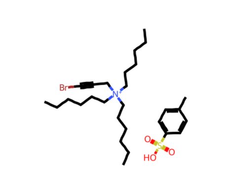 CCCCCC[N+](CC#CBr)(CCCCCC)CCCCCC.Cc1ccc(S(=O)(=O)O)cc1